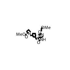 COCCOc1ncc2[nH]c(=O)n(Cc3cccc(CN4CCC[C@H]4C(=O)OC)c3)c2n1